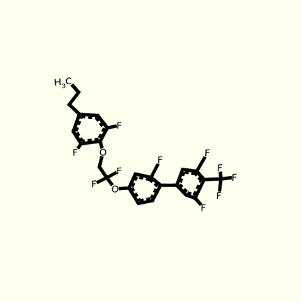 CCCc1cc(F)c(OCC(F)(F)Oc2ccc(-c3cc(F)c(C(F)(F)F)c(F)c3)c(F)c2)c(F)c1